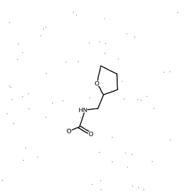 [O]C(=O)NCC1CCCO1